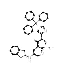 CCn1cc(-c2cn(C(c3ccccc3)(c3ccccc3)c3ccccc3)cn2)c(=O)c2cc(NC3Cc4ccccc4C3)cnc21